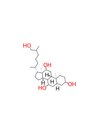 CC(CO)CCCC(C)[C@H]1CC[C@H]2[C@@H]3[C@H](O)C[C@@H]4C[C@H](O)CC[C@]4(C)[C@H]3C[C@H](O)[C@]12C